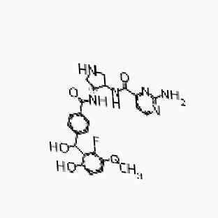 COc1ccc(O)c(C(O)c2ccc(C(=O)N[C@@H]3CNCC3NC(=O)c3ccnc(N)n3)cc2)c1F